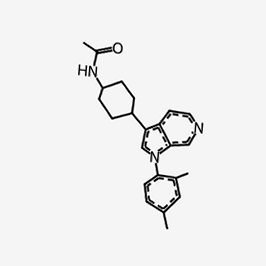 CC(=O)NC1CCC(c2cn(-c3ccc(C)cc3C)c3cnccc23)CC1